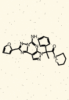 CC(C(=O)N1CCCCC1)(c1ccccc1)n1ncc2c1nc(N)n1nc(-c3ccco3)nc21